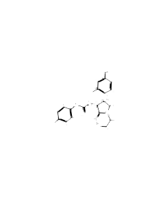 O=C(Nc1ccc(F)cc1)N[C@@H]1C2=NOCCN2C[C@H]1c1ccc(Br)cc1F